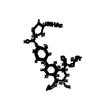 CC(=O)NC1CCN(C(=O)c2ccc(-c3ccc4c(c3)N(C(=O)OC(C)C)C[C@H](C)N4C(C)=O)cc2)C1